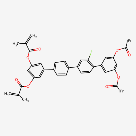 C=C(C)C(=O)Oc1cc(OC(=O)C(=C)C)cc(-c2ccc(-c3ccc(-c4cc(OC(=O)C(C)C)cc(OC(=O)C(C)C)c4)c(F)c3)cc2)c1